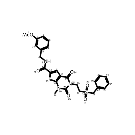 COc1cccc(CNC(=O)c2cc3c(=O)n(CCS(=O)(=O)Cc4ccccc4)c(=O)n(C)c3s2)c1